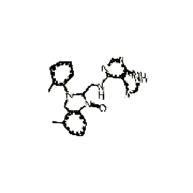 Cc1ccccc1N1Cc2c(C)cccc2[N+](=O)C1CNc1ncnc2[nH]cnc12